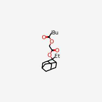 CCC(C)C(=O)OCC(=O)OC1(CC)C2CC3CC(C2)CC1C3